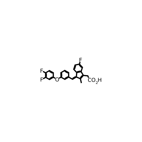 CC1=C(CC(=O)O)c2cc(F)ccc2/C1=C\c1cccc(Oc2ccc(F)c(F)c2)c1